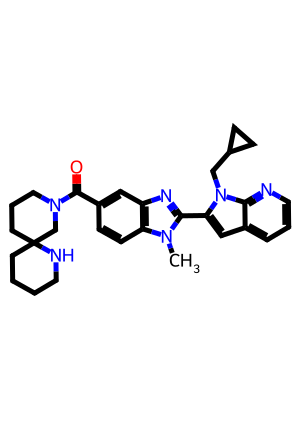 Cn1c(-c2cc3cccnc3n2CC2CC2)nc2cc(C(=O)N3CCCC4(CCCCN4)C3)ccc21